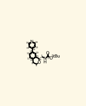 CC(C)(C)OC(=O)NC[C@@H]1OCCc2ccc(-c3ccncc3)cc21